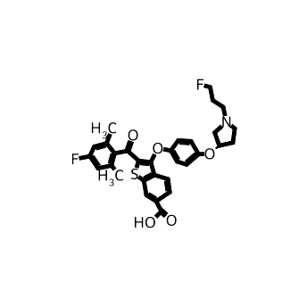 Cc1cc(F)cc(C)c1C(=O)c1sc2cc(C(=O)O)ccc2c1Oc1ccc(O[C@H]2CCN(CCCF)C2)cc1